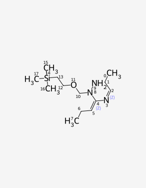 CC/C=N\C(=C\CC)N(N)COCC[Si](C)(C)C